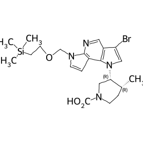 C[C@@H]1CCN(C(=O)O)C[C@@H]1n1cc(Br)c2cnc3c(ccn3COCC[Si](C)(C)C)c21